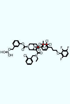 CCN(Cc1ccccc1Cl)C(=O)C1=C(c2ccc(CCCOc3c(F)ccc(F)c3F)cc2)CC2CN(C(=O)Oc3cccc(CON(O)O)c3)CC1N2C(=O)OC(C)(C)C(Cl)(Cl)Cl